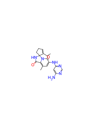 Cc1cc(Nc2cc(N)ncn2)c(=O)n2c1C(=O)NC21CCC=C1C(C)C